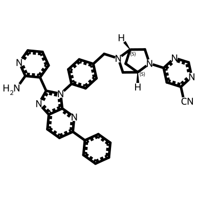 N#Cc1cc(N2C[C@@H]3C[C@H]2CN3Cc2ccc(-n3c(-c4cccnc4N)nc4ccc(-c5ccccc5)nc43)cc2)ncn1